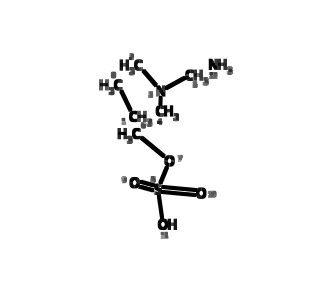 CC.CN(C)C.COS(=O)(=O)O.N